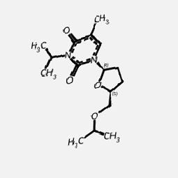 Cc1cn([C@H]2CC[C@@H](COC(C)C)O2)c(=O)n(C(C)C)c1=O